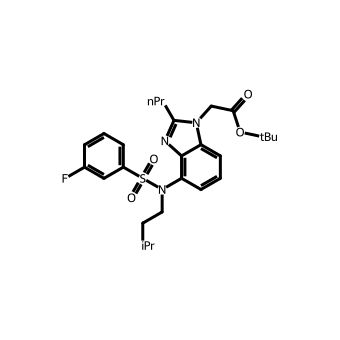 CCCc1nc2c(N(CCC(C)C)S(=O)(=O)c3cccc(F)c3)cccc2n1CC(=O)OC(C)(C)C